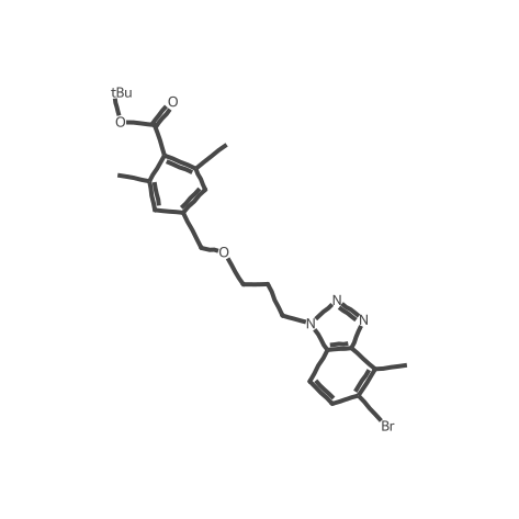 Cc1cc(COCCCn2nnc3c(C)c(Br)ccc32)cc(C)c1C(=O)OC(C)(C)C